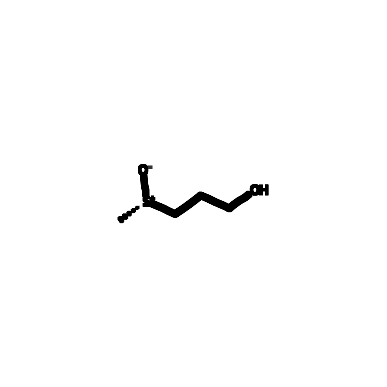 C[S@+]([O-])CCCO